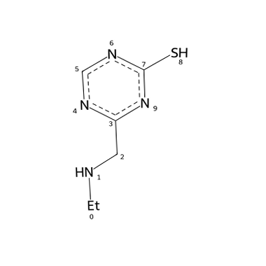 CCNCc1ncnc(S)n1